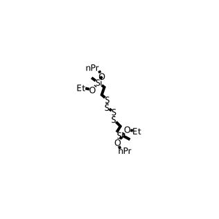 CCCO[Si](C)(CCSSSSCC[Si](C)(OCC)OCCC)OCC